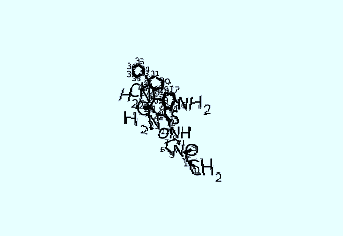 C=CC(=O)N1CCCC(NC(=O)c2sc3c(N)ccc4c3c2C(N)C(=O)C4(N)c2cccc(-c3ccccc3)c2Cl)C1